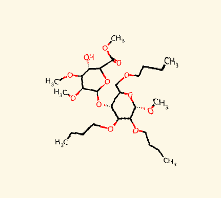 CCCCOCC1O[C@H](OC)C(OCCCC)[C@@H](OCCCC)[C@@H]1O[C@@H]1OC(C(=O)OC)[C@@H](O)C(OC)[C@@H]1OC